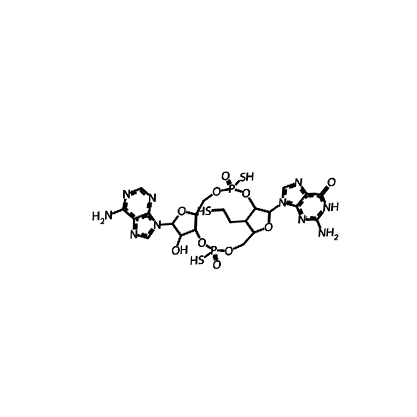 Nc1nc2c(ncn2C2OC3COP(=O)(S)OC4C(COP(=O)(S)OC2C3CCS)OC(n2cnc3c(N)ncnc32)C4O)c(=O)[nH]1